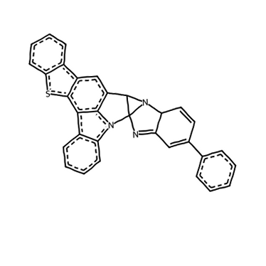 C1=CC2C(=NC34C(c5cc6c7ccccc7sc6c6c7ccccc7n3c56)N24)C=C1c1ccccc1